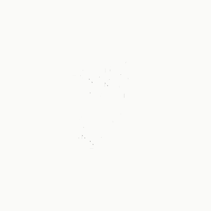 Cc1ccc(-c2c[nH]nc2C)cc1C1=CN(C)CN1CC(C)(C)C